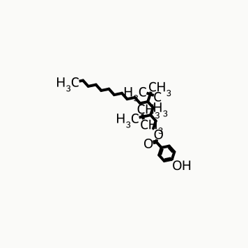 CCCCCCCCCCCC(CC(CCOC(=O)c1ccc(O)cc1)C(C)(C)C)C(C)(C)C